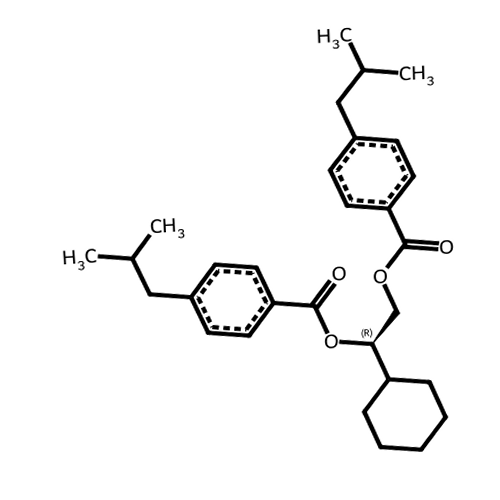 CC(C)Cc1ccc(C(=O)OC[C@H](OC(=O)c2ccc(CC(C)C)cc2)C2CCCCC2)cc1